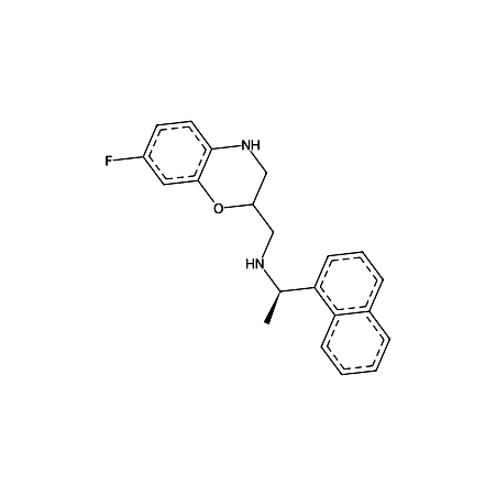 C[C@@H](NCC1CNc2ccc(F)cc2O1)c1cccc2ccccc12